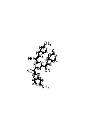 Cc1ncc2c(n1)=NC(=C(C#N)c1nc(C(C#N)=C3N=c4cnc(C)nc4=N3)nc(C(C#N)=C3N=c4cnc(C)nc4=N3)n1)N=2